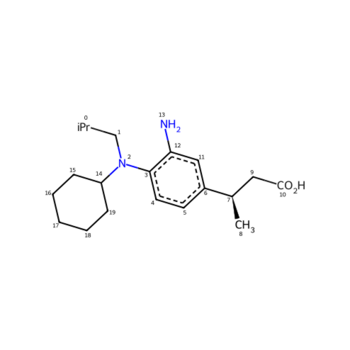 CC(C)CN(c1ccc([C@H](C)CC(=O)O)cc1N)C1CCCCC1